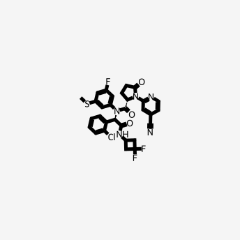 CSc1cc(F)cc(N(C(=O)[C@@H]2CCC(=O)N2c2cc(C#N)ccn2)[C@H](C(=O)NC2CC(F)(F)C2)c2ccccc2Cl)c1